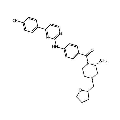 C[C@@H]1CN(CC2CCCO2)CCN1C(=O)c1ccc(Nc2nccc(-c3ccc(Cl)cc3)n2)cc1